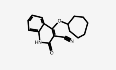 N#Cc1c(OC2CCCCCC2)c2ccccc2[nH]c1=O